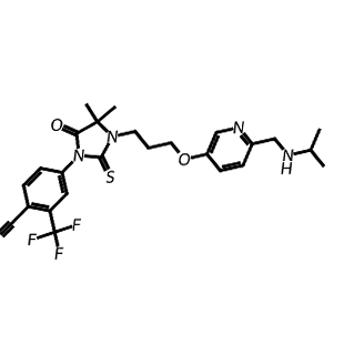 CC(C)NCc1ccc(OCCCN2C(=S)N(c3ccc(C#N)c(C(F)(F)F)c3)C(=O)C2(C)C)cn1